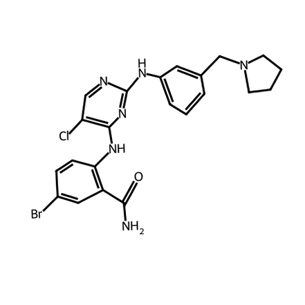 NC(=O)c1cc(Br)ccc1Nc1nc(Nc2cccc(CN3CCCC3)c2)ncc1Cl